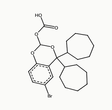 O=C(O)OC1Oc2ccc(Br)cc2C(C2CCCCCC2)(C2CCCCCC2)O1